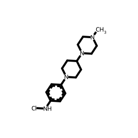 CN1CCN(C2CCN(c3ccc(NCl)cc3)CC2)CC1